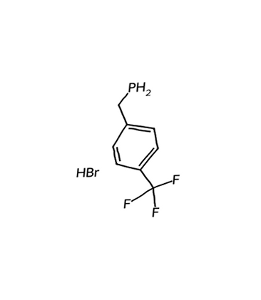 Br.FC(F)(F)c1ccc(CP)cc1